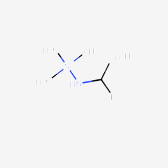 CCC(N[N+](C)(C)C)S(=O)(=O)O